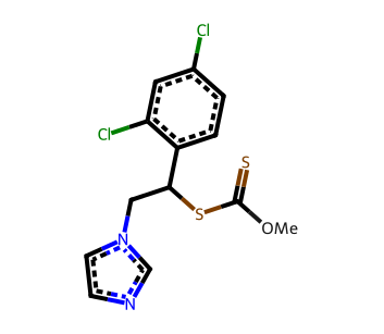 COC(=S)SC(Cn1ccnc1)c1ccc(Cl)cc1Cl